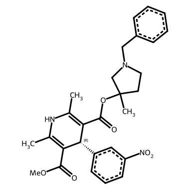 COC(=O)C1=C(C)NC(C)=C(C(=O)OC2(C)CCN(Cc3ccccc3)C2)[C@@H]1c1cccc([N+](=O)[O-])c1